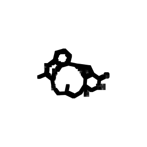 C/C1=C\C[C@H]2CNC(=O)c3cc([nH]c32)-c2cccc3nc(C)c(nc23)SC1